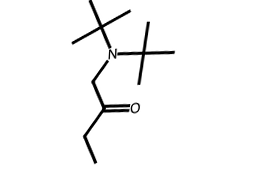 CCC(=O)CN(C(C)(C)C)C(C)(C)C